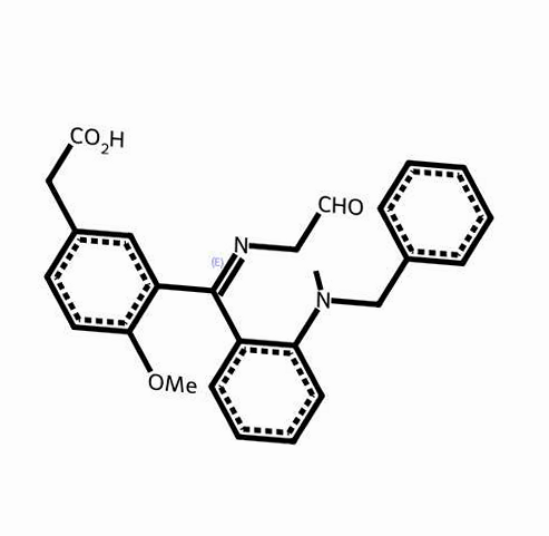 COc1ccc(CC(=O)O)cc1/C(=N/CC=O)c1ccccc1N(C)Cc1ccccc1